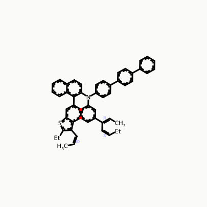 C/C=C\c1c(CC)sc2cc(-c3c(N(c4ccc(-c5ccc(-c6ccccc6)cc5)cc4)c4cccc(C(/C=C\CC)=C/C)c4)ccc4ccccc34)ccc12